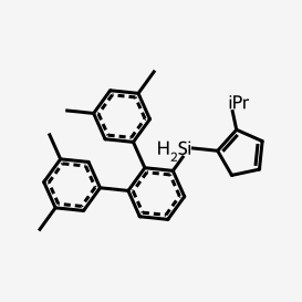 Cc1cc(C)cc(-c2cccc([SiH2]C3=C(C(C)C)C=CC3)c2-c2cc(C)cc(C)c2)c1